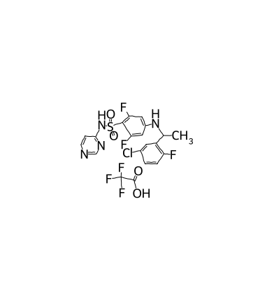 CC(Nc1cc(F)c(S(=O)(=O)Nc2ccncn2)c(F)c1)c1cc(Cl)ccc1F.O=C(O)C(F)(F)F